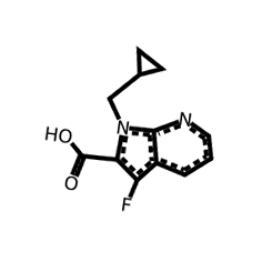 O=C(O)c1c(F)c2cccnc2n1CC1CC1